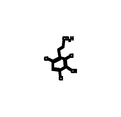 N#Cc1c(Cl)cc(Cl)c(CCC(=O)O)c1Cl